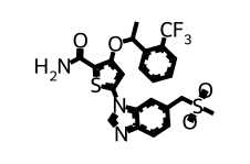 CC(Oc1cc(-n2cnc3ccc(CS(C)(=O)=O)cc32)sc1C(N)=O)c1ccccc1C(F)(F)F